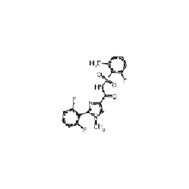 Cc1cccc(F)c1S(=O)(=O)NC(=O)c1cn(C)c(-c2c(F)cccc2F)n1